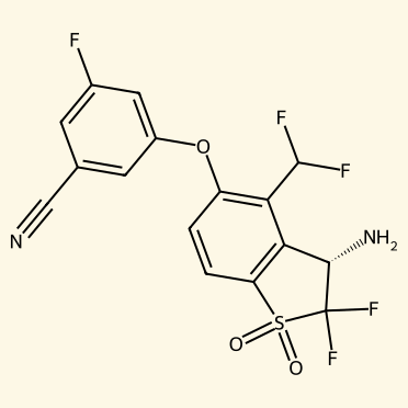 N#Cc1cc(F)cc(Oc2ccc3c(c2C(F)F)[C@H](N)C(F)(F)S3(=O)=O)c1